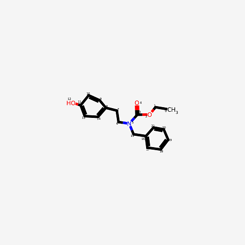 CCOC(=O)N(CCc1ccc(O)cc1)Cc1ccccc1